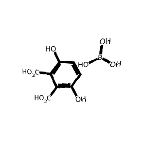 O=C(O)c1c(O)ccc(O)c1C(=O)O.OB(O)O